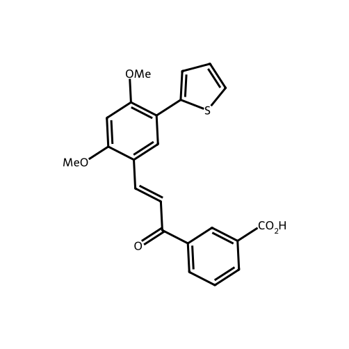 COc1cc(OC)c(-c2cccs2)cc1C=CC(=O)c1cccc(C(=O)O)c1